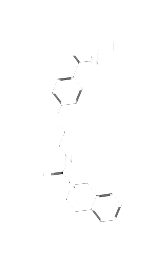 O=C(NCCOc1ccc(C(=S)NO)cc1)N1CCc2ccccc2C1